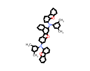 Cc1cc(C)cc(N(c2ccc3c(c2)oc2cc(N(c4cc(C)cc(C)c4)c4cccc5c4oc4ccccc45)c4ccccc4c23)c2cccc3c2oc2ccccc23)c1